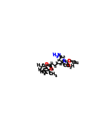 CC(C)(C)OC(=O)N1C[C@H](N)C[C@@]1(CCCCB1OC(C)(C)C(C)(C)O1)C(=O)O